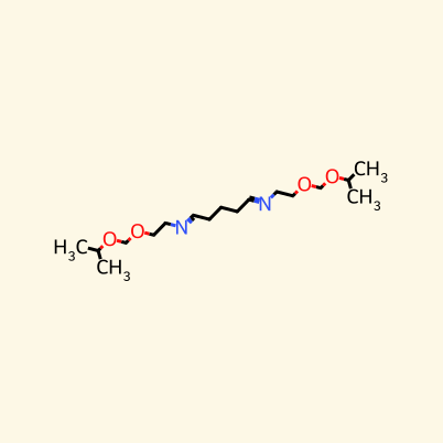 CC(C)OCOCC/N=C/CCC/C=N/CCOCOC(C)C